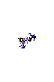 Cn1nccc1C(=O)N[C@H](C(=O)Nc1ccc(-c2c(C#N)cnn2C)cn1)[C@H]1CC[C@H](C)CC1